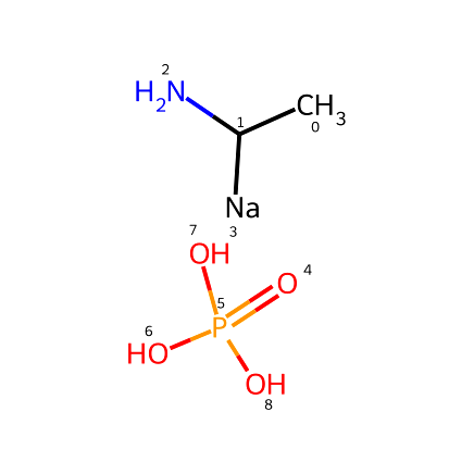 C[CH](N)[Na].O=P(O)(O)O